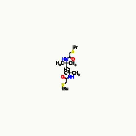 CC(C)SCC(=O)NC(C)(C)CCC(C)(C)NC(=O)CSC(C)(C)C